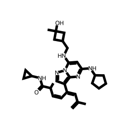 C=C(C)/C=C(\C=C/C(C)C(=O)NC1CC1)c1cnn2c(NCC3CC(C)(O)C3)cc(NC3CCCC3)nc12